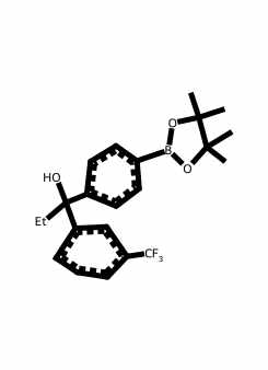 CCC(O)(c1ccc(B2OC(C)(C)C(C)(C)O2)cc1)c1cccc(C(F)(F)F)c1